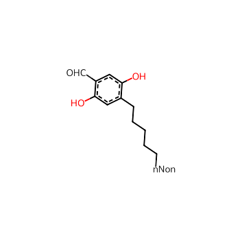 CCCCCCCCCCCCCCc1cc(O)c(C=O)cc1O